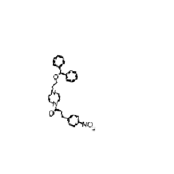 O=C(CCc1ccc([N+](=O)[O-])cc1)N1CCN(CCOC(c2ccccc2)c2ccccc2)CC1